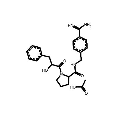 CC(=O)O.N=C(N)c1ccc(CNC(=O)C2CCCN2C(=O)C(O)Cc2ccccc2)cc1